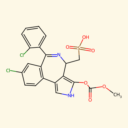 COC(=O)Oc1[nH]cc2c1C(CS(=O)(=O)O)N=C(c1ccccc1Cl)c1cc(Cl)ccc1-2